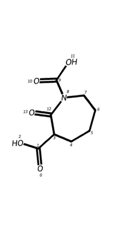 O=C(O)C1CCCCN(C(=O)O)C1=O